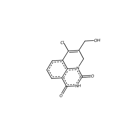 O=c1[nH]c(=O)n2c3c(cccc13)C(Cl)=C(CO)C2